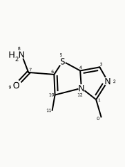 Cc1ncc2sc(C(N)=O)c(C)n12